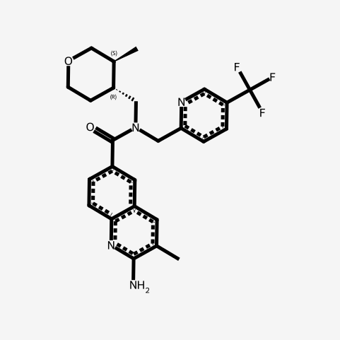 Cc1cc2cc(C(=O)N(Cc3ccc(C(F)(F)F)cn3)C[C@@H]3CCOC[C@H]3C)ccc2nc1N